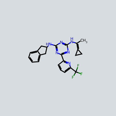 CC(Nc1nc(NC2Cc3ccccc3C2)nc(-c2cccc(C(F)(F)F)n2)n1)=C1CC1